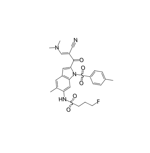 Cc1ccc(S(=O)(=O)n2c(C(=O)/C(C#N)=C/N(C)C)cc3cc(C)c(NS(=O)(=O)CCCF)cc32)cc1